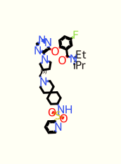 CCN(C(=O)c1cc(F)ccc1Oc1nncnc1N1CC[C@@H](CN2CCC3(CCC(NS(=O)(=O)c4ccccn4)CC3)CC2)C1)C(C)C